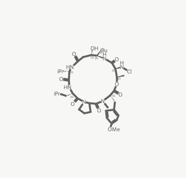 CC[C@H](C)[C@H]1NC(=O)[C@@H](NCl)[C@@H](C)OC(=O)[C@H](Cc2ccc(OC)cc2)N(C)C(=O)C2CCCN2C(=O)[C@H](CC(C)C)NC(=O)[C@H](C(C)C)NC(=O)C[C@@H]1O